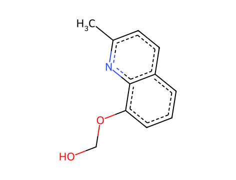 Cc1ccc2cccc(OCO)c2n1